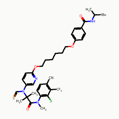 CC(NC(=O)c1ccc(OCCCCCCOc2ccc(N(C=S)C(C)(C)C(=O)N(C)c3ccc(C#N)c(C(F)(F)F)c3F)cn2)cc1)C(C)(C)C